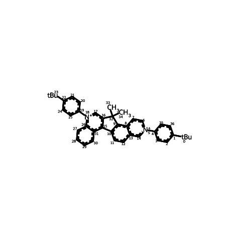 CC(C)(C)c1ccc(-[n+]2ccc3c4c(ccc3c2)-c2c(c[n+](-c3ccc(C(C)(C)C)cc3)c3ccccc23)C4(C)C)cc1